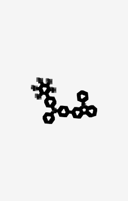 [2H]c1c([2H])c([2H])c(-c2ccc(N(c3ccccc3)c3ccc(-c4ccc5c6ccccc6n(-c6ccccc6)c5c4)cc3)cc2)c([2H])c1[2H]